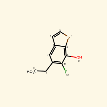 O=C(O)Cc1cc2ccsc2c(O)c1F